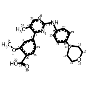 COc1cc(-c2nc(Nc3ccc(N4CCOCC4)cc3)ncc2C)ccc1C(=O)O